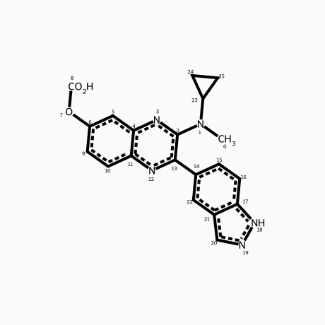 CN(c1nc2cc(OC(=O)O)ccc2nc1-c1ccc2[nH]ncc2c1)C1CC1